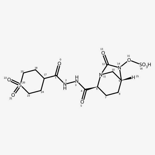 O=C(NNC(=O)[C@@H]1CC[C@@H]2CN1C(=O)N2OS(=O)(=O)O)C1CCS(=O)(=O)CC1